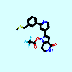 CSCc1cccc(-c2cc(-c3cc4c(n3OC(=O)C(F)(F)F)CCNC4=O)ccn2)c1